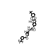 CC(C)(C)c1ccc(O[C@@H](Cc2ccc(OCCN[C@H]3C4CN(C(=O)c5cccc(C(F)(F)F)c5)C[C@@H]43)cc2)C(=O)O)cc1.Cl